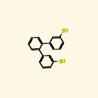 Sc1cccc(-c2ccccc2-c2cccc(S)c2)c1